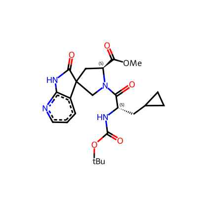 COC(=O)[C@@H]1CC2(CN1C(=O)[C@H](CC1CC1)NC(=O)OC(C)(C)C)C(=O)Nc1ncccc12